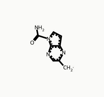 [CH2]c1cnc2c(ccn2C(N)=O)n1